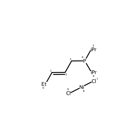 CCC=CCP(C(C)C)C(C)C.[Cl][Ni][Cl]